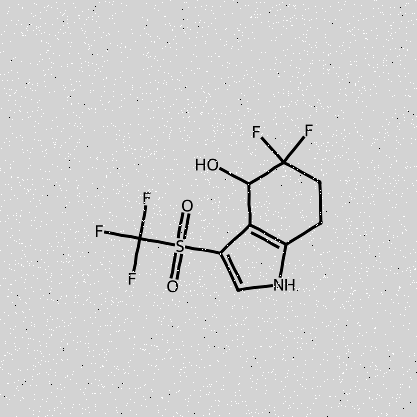 O=S(=O)(c1c[nH]c2c1C(O)C(F)(F)CC2)C(F)(F)F